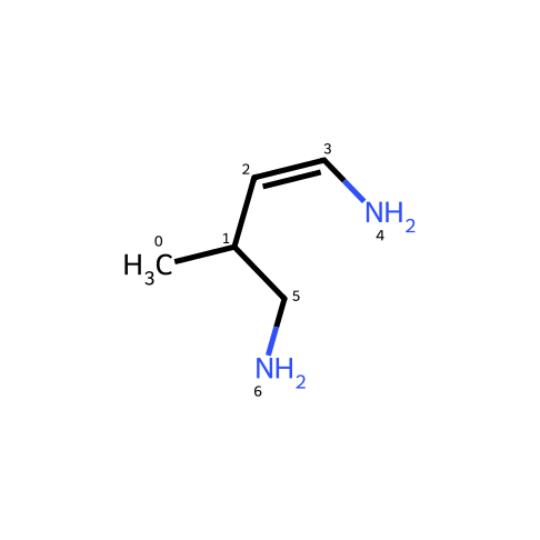 CC(/C=C\N)CN